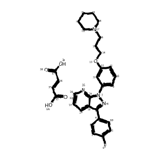 Fc1ccc(-c2nn(-c3cccc(OCCCN4CCCCC4)c3)c3ncccc23)cc1.O=C(O)/C=C/C(=O)O